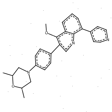 COc1c(-c2ccc(N3CC(C)OC(C)C3)cc2)cnc2c(-c3ccncc3)cccc12